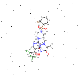 CC(C)C1C(=O)NCCN1C[C@H]1CN(S(=O)(=O)C2=CC=CCC2=S)CCN1c1ncc(C(O)(C(F)(F)F)C(F)(F)F)cn1